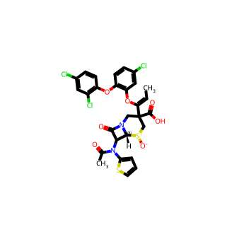 CC=C(Oc1cc(Cl)ccc1Oc1ccc(Cl)cc1Cl)C1(C(=O)O)CN2C(=O)C(N(C(C)=O)c3cccs3)[C@H]2[S+]([O-])C1